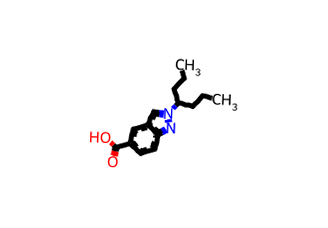 CCCC(CCC)n1cc2cc(C(=O)O)ccc2n1